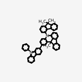 CC1(C)c2ccccc2-c2c(N3c4ccc(-c5ccc6c7ccccc7n(-c7ccccc7)c6c5)cc4C4(C)c5ccccc5-c5cccc3c54)cccc21